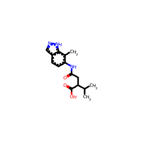 Cc1c(NC(=O)CC(C(=O)O)C(C)C)ccc2cn[nH]c12